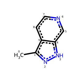 Cc1n[nH]c2cn[c]cc12